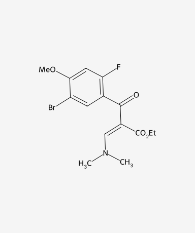 CCOC(=O)C(=CN(C)C)C(=O)c1cc(Br)c(OC)cc1F